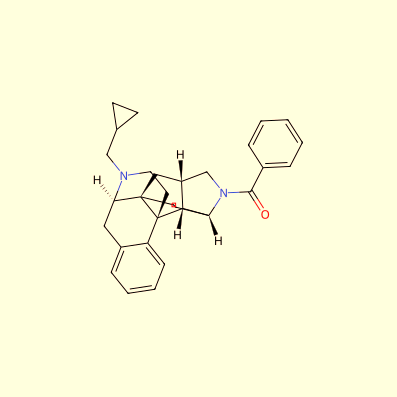 O=C(c1ccccc1)N1C[C@H]2C[C@@]34CC[C@@H]1[C@@H]2[C@@]31CCN(CC2CC2)[C@@H]4Cc2ccccc21